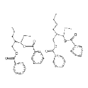 CCCC(COC(=O)c1ccccc1)C(CC)OC(=O)c1ccccc1.CCCCC(COC(=O)c1ccccc1)C(CC)OC(=O)c1ccccc1